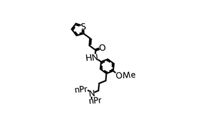 CCCN(CCC)CCCc1cc(NC(=O)C=Cc2cccs2)ccc1OC